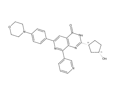 O=c1[nH]c([C@@H]2CC[C@H](O)C2)nc2c(-c3cccnc3)nc(-c3ccc(N4CCOCC4)cc3)cc12